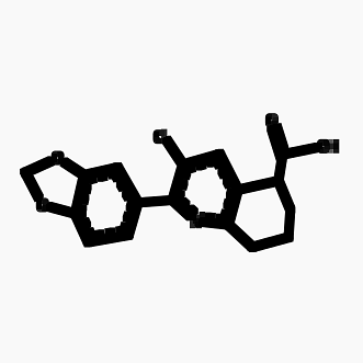 O=C(O)C1CCCc2nc(-c3ccc4c(c3)OCO4)c(Cl)cc21